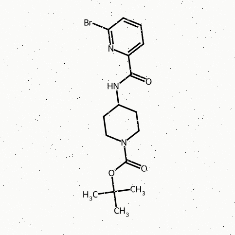 CC(C)(C)OC(=O)N1CCC(NC(=O)c2cccc(Br)n2)CC1